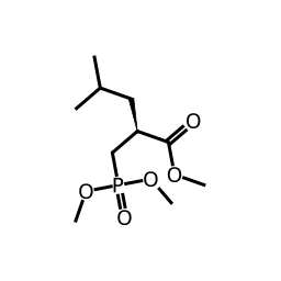 COC(=O)[C@H](CC(C)C)CP(=O)(OC)OC